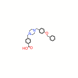 O=C(O)c1ccc(CN2CCN(Cc3ccc(OCc4ccccc4)cc3)CC2)cc1